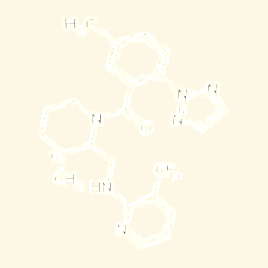 Cc1ccc(-n2nccn2)c(C(=O)N2CCC[C@@H](C)C2CNc2ncccc2C(F)(F)F)c1